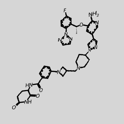 C[C@@H](Oc1cc(-c2cnn(C3CCN(CC4CN(c5cccc(C(=O)NC6CCC(=O)NC6=O)c5)C4)CC3)c2)cnc1N)c1cc(F)ccc1-n1nccn1